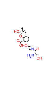 N[C@@H](CO)C(=O)N1CC(Oc2ccc3c(c2C(=O)O)OB(O)[C@@H]2CC32)C1